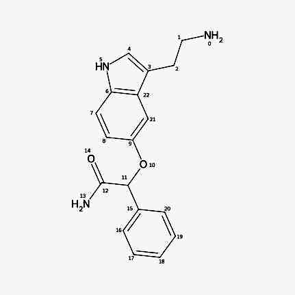 NCCc1c[nH]c2ccc(OC(C(N)=O)c3ccccc3)cc12